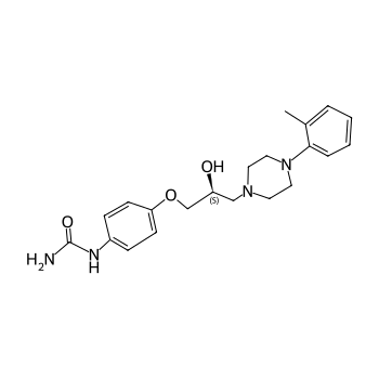 Cc1ccccc1N1CCN(C[C@H](O)COc2ccc(NC(N)=O)cc2)CC1